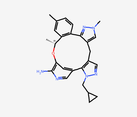 Cc1ccc2c(c1)[C@@H](C)Oc1cc(cnc1N)-c1c(cnn1CC1CC1)Cc1cn(C)nc1-2